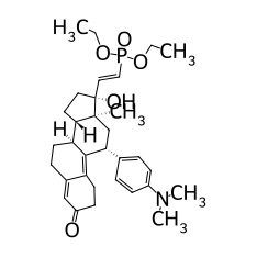 CCOP(=O)(C=C[C@]1(O)CC[C@H]2[C@@H]3CCC4=CC(=O)CCC4=C3[C@@H](c3ccc(N(C)C)cc3)C[C@@]21C)OCC